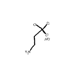 Cl.NCCC(Cl)(Cl)Cl